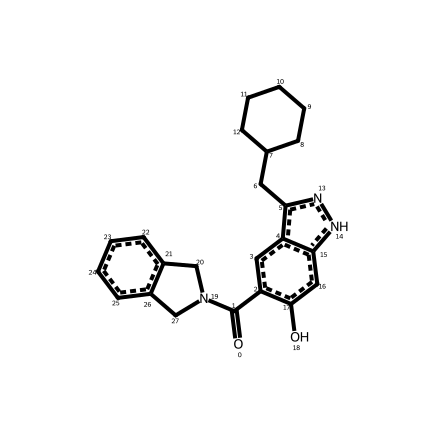 O=C(c1cc2c(CC3CCCCC3)n[nH]c2cc1O)N1Cc2ccccc2C1